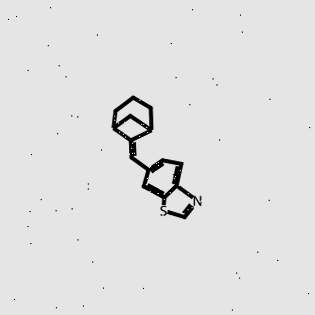 C(=C1C2CCCC1C2)c1ccc2ncsc2c1